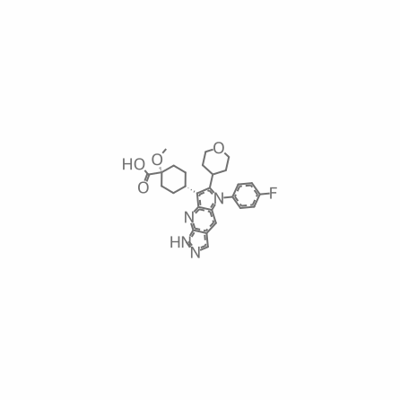 CO[C@]1(C(=O)O)CC[C@H](c2c(C3CCOCC3)n(-c3ccc(F)cc3)c3cc4cn[nH]c4nc32)CC1